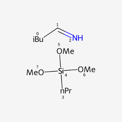 CCC(C)C=N.CCC[Si](OC)(OC)OC